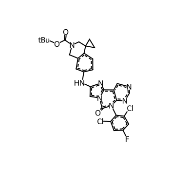 CC(C)(C)OC(=O)N1Cc2cc(Nc3cn4c(=O)n(-c5c(Cl)cc(F)cc5Cl)c5ncncc5c4n3)ccc2C2(CC2)C1